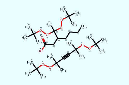 CC(C)(C)OOC(C)(C)C#CC(C)(C)OOC(C)(C)C.CCCCC(CC(=O)O)C(C)(OOC(C)(C)C)OOC(C)(C)C